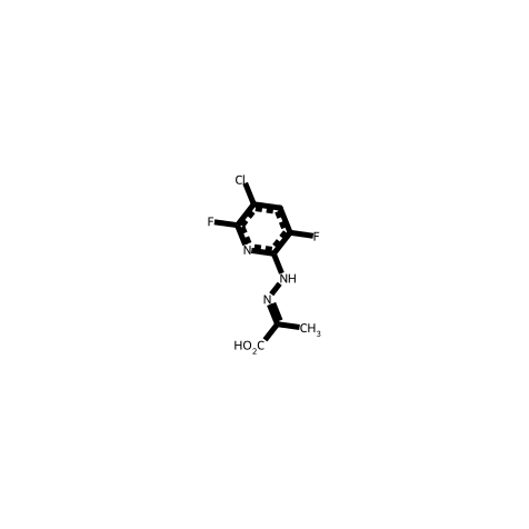 CC(=NNc1nc(F)c(Cl)cc1F)C(=O)O